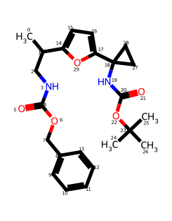 CC(CNC(=O)OCc1ccccc1)c1ccc(C2(NC(=O)OC(C)(C)C)CC2)o1